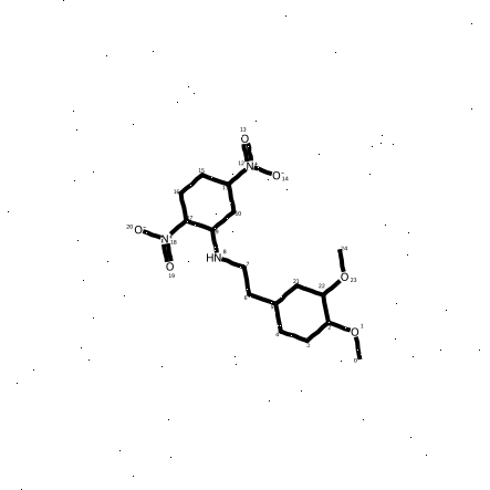 COC1CCC(CCNC2CC([N+](=O)[O-])CCC2[N+](=O)[O-])CC1OC